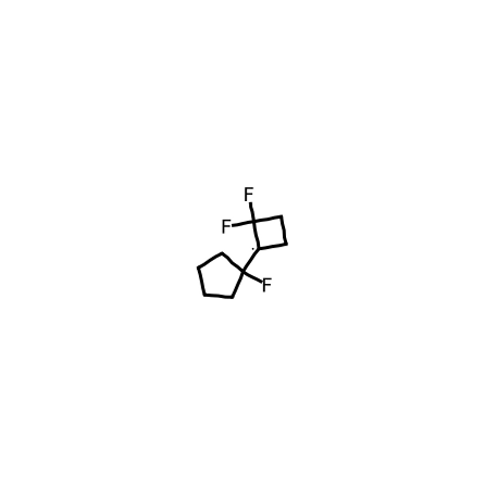 FC1(F)CC[C]1C1(F)CCCC1